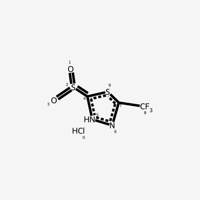 Cl.O=S(=O)=c1[nH]nc(C(F)(F)F)s1